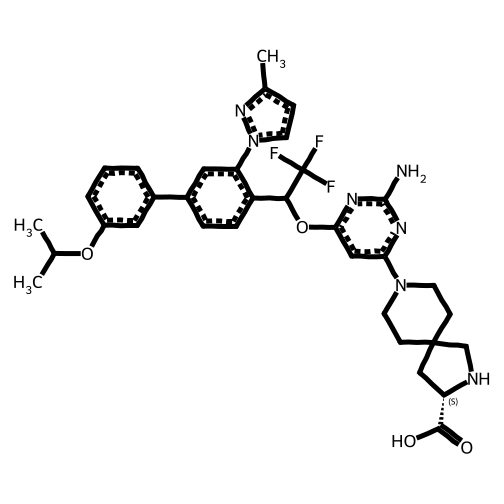 Cc1ccn(-c2cc(-c3cccc(OC(C)C)c3)ccc2C(Oc2cc(N3CCC4(CC3)CN[C@H](C(=O)O)C4)nc(N)n2)C(F)(F)F)n1